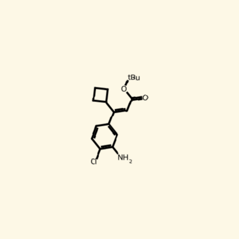 CC(C)(C)OC(=O)C=C(c1ccc(Cl)c(N)c1)C1CCC1